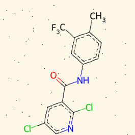 Cc1ccc(NC(=O)c2cc(Cl)cnc2Cl)cc1C(F)(F)F